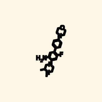 CC1CN(c2cc(F)c(-c3ccc(N4CCOCC4)cc3)cc2N)CCN1C